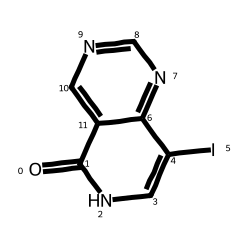 O=c1[nH]cc(I)c2ncncc12